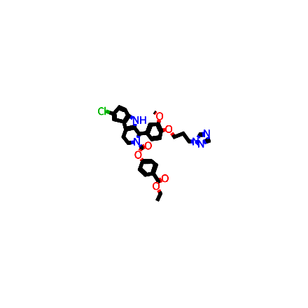 CCOC(=O)c1ccc(OC(=O)N2CCc3c([nH]c4ccc(Cl)cc34)C2c2ccc(OCCCn3cncn3)c(OC)c2)cc1